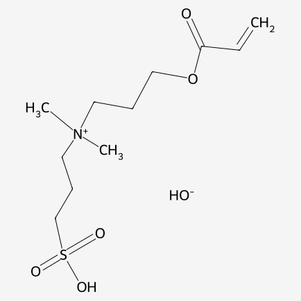 C=CC(=O)OCCC[N+](C)(C)CCCS(=O)(=O)O.[OH-]